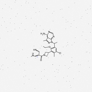 CCOc1c(C(C)n2nc(C)c3c(N)ncnc32)cc(Cl)c(C)c1C1CN(C(=O)/C(C=N)=C/NC)C1